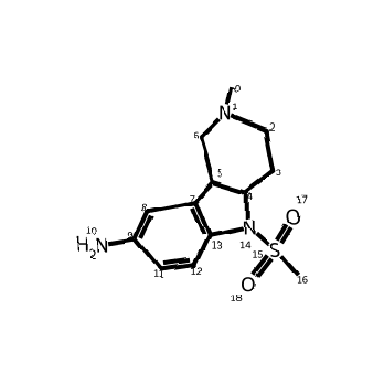 CN1CCC2C(C1)c1cc(N)ccc1N2S(C)(=O)=O